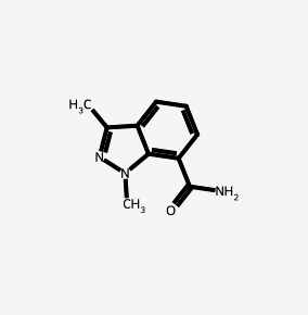 Cc1nn(C)c2c(C(N)=O)cccc12